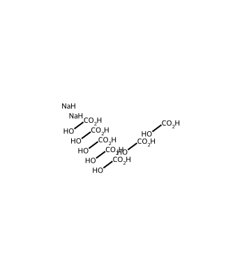 O=C(O)O.O=C(O)O.O=C(O)O.O=C(O)O.O=C(O)O.O=C(O)O.O=C(O)O.[NaH].[NaH]